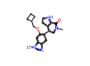 CCn1cnc2cc(-c3cn(C)c(=O)c4[nH]ccc34)c(OCC3CCC3)cc21